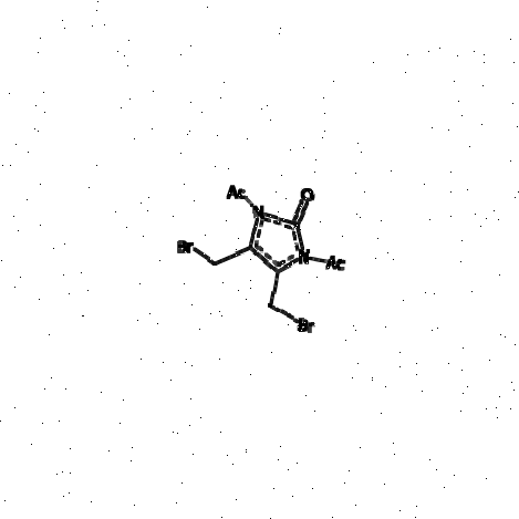 CC(=O)n1c(CBr)c(CBr)n(C(C)=O)c1=O